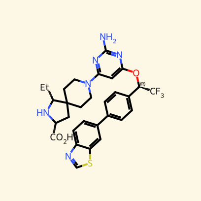 CCC1NC(C(=O)O)CC12CCN(c1cc(O[C@H](c3ccc(-c4ccc5ncsc5c4)cc3)C(F)(F)F)nc(N)n1)CC2